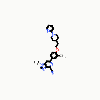 Cc1cc(-c2cc3c(ncn3C)c(C#N)n2)ccc1OCCC1CCN(c2ccccn2)CC1